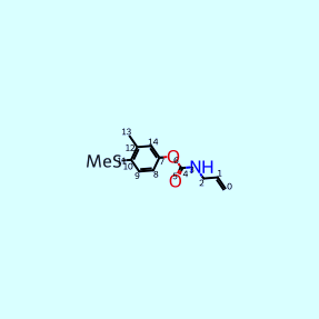 C=CCNC(=O)Oc1ccc(SC)c(C)c1